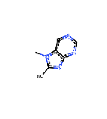 Cn1c(C#N)nc2ncncc21